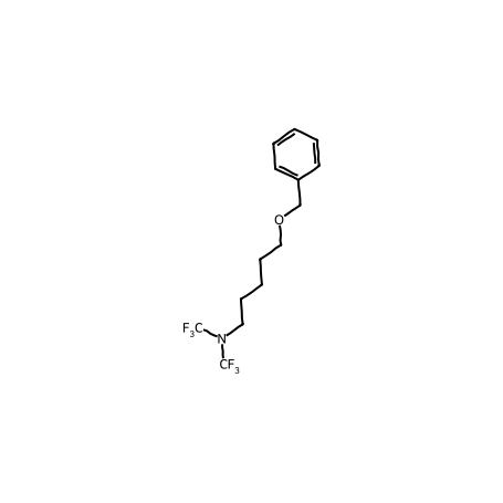 FC(F)(F)N(CCCCCOCc1ccccc1)C(F)(F)F